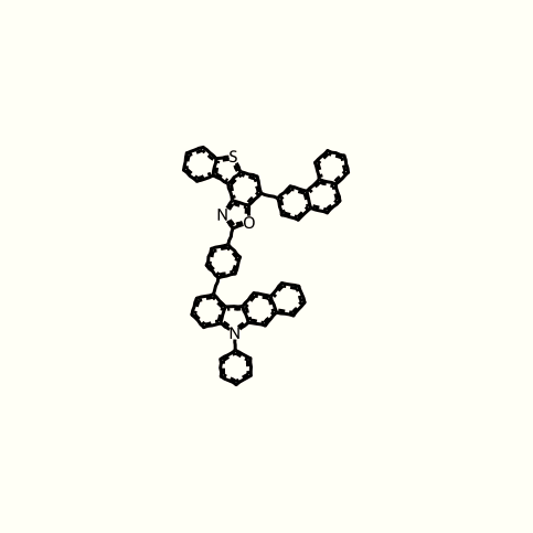 c1ccc(-n2c3cc4ccccc4cc3c3c(-c4ccc(-c5nc6c(o5)c(-c5ccc7ccc8ccccc8c7c5)cc5sc7ccccc7c56)cc4)cccc32)cc1